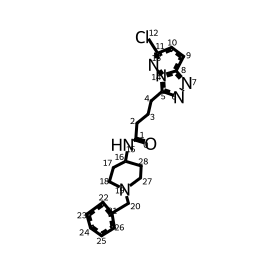 O=C(CCCc1nnc2ccc(Cl)nn12)NC1CCN(Cc2ccccc2)CC1